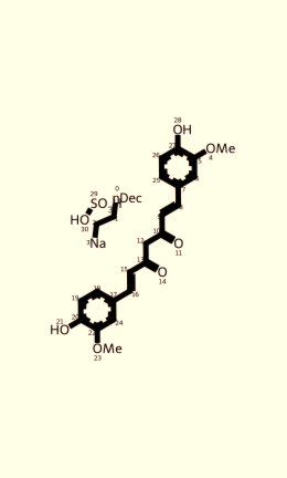 CCCCCCCCCCC[CH2][Na].COc1cc(/C=C/C(=O)CC(=O)/C=C/c2ccc(O)c(OC)c2)ccc1O.O=S(=O)(O)O